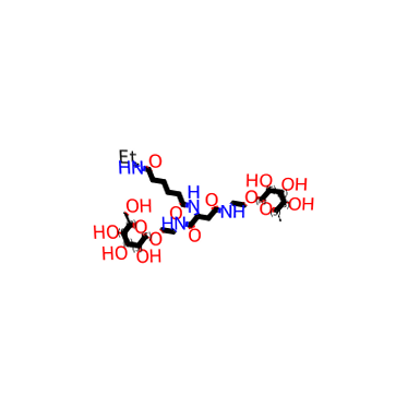 CCNC(=O)CCCCC(=O)NC(CC(=O)NCCO[C@@H]1O[C@@H](C)[C@@H](O)[C@@H](O)[C@@H]1O)C(=O)NCCO[C@H]1O[C@H](CO)[C@@H](O)[C@H](O)[C@@H]1O